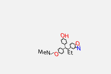 CC/C(=C(/c1ccc(O)cc1)c1ccc(OCCNC)cc1)c1ccc2ocnc2c1